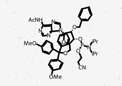 COc1ccc(C(OCC2O[C@@H](n3cnc4c(NC(C)=O)ncnc43)[C@H](OCc3ccccc3)[C@@H]2OP(OCCC#N)N(C(C)C)C(C)C)(c2ccccc2)c2ccc(OC)cc2)cc1